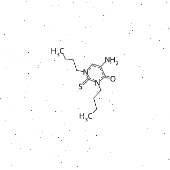 CCCCn1cc(N)c(=O)n(CCCC)c1=S